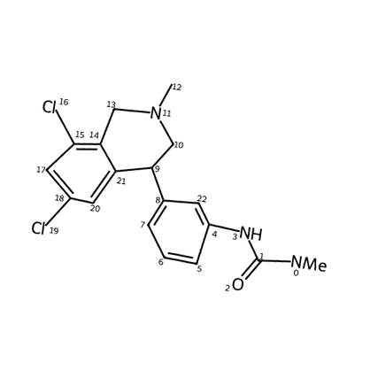 CNC(=O)Nc1cccc(C2CN(C)Cc3c(Cl)cc(Cl)cc32)c1